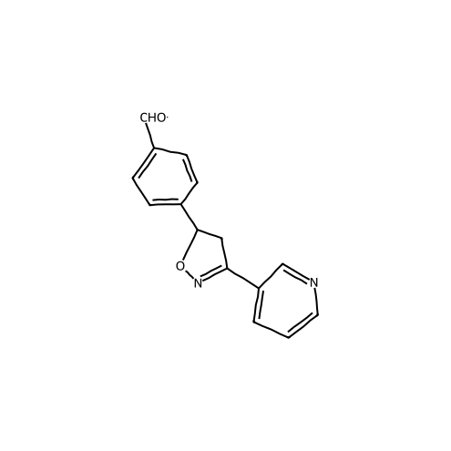 O=[C]c1ccc(C2CC(c3cccnc3)=NO2)cc1